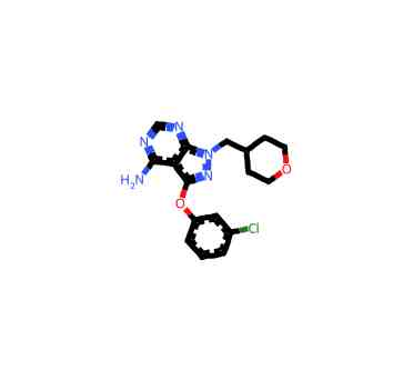 Nc1ncnc2c1c(Oc1cccc(Cl)c1)nn2CC1CCOCC1